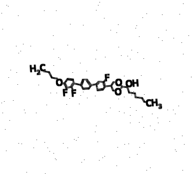 C=CCCCOc1ccc(-c2ccc(-c3ccc(C4COC(C(O)CCCCCC)OC4)c(F)c3)cc2)c(F)c1F